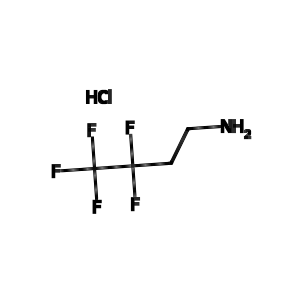 Cl.NCCC(F)(F)C(F)(F)F